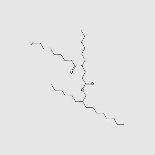 CCCCCCCCC(CCCCCC)COC(=O)CCN(CCCCCC)C(=O)CCCCCCCBr